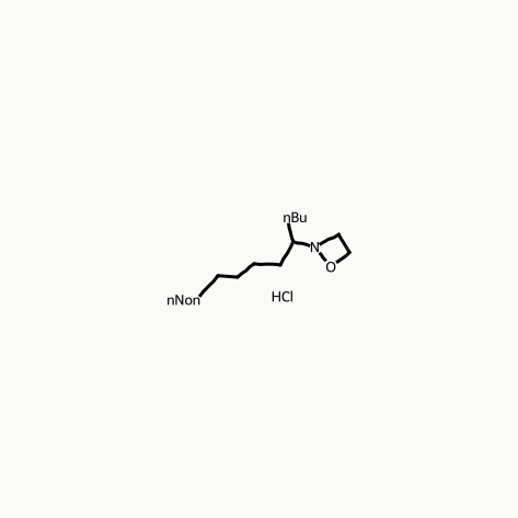 CCCCCCCCCCCCCC(CCCC)N1CCO1.Cl